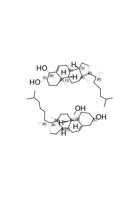 CC(C)CCC[C@@H](C)[C@H]1CC[C@H]2[C@@H]3CC=C4C[C@@H](O)CC[C@]4(CO)[C@H]3CC[C@]12C.CC(C)CCC[C@@H](C)[C@H]1CC[C@H]2[C@@H]3CC=C4[C@@H](O)[C@@H](O)CC[C@]4(C)[C@H]3CC[C@]12C